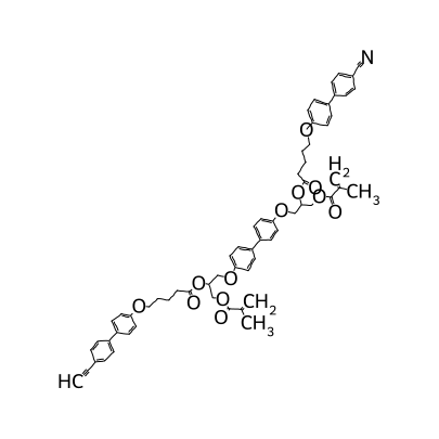 C#Cc1ccc(-c2ccc(OCCCCC(=O)OC(COC(=O)C(=C)C)COc3ccc(-c4ccc(OCC(COC(=O)C(=C)C)OC(=O)CCCCOc5ccc(-c6ccc(C#N)cc6)cc5)cc4)cc3)cc2)cc1